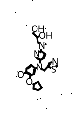 COc1ccc(N(Cc2cncs2)c2ccc(N(C)CC(O)CO)nc2)cc1OC1CCCC1